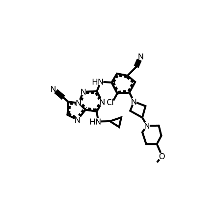 COC1CCN(C2CN(c3cc(C#N)cc(Nc4nc(NC5CC5)c5ncc(C#N)n5n4)c3Cl)C2)CC1